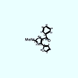 CNc1nc(-c2ccco2)c(C(=O)c2ccccc2)s1